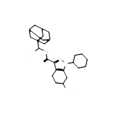 CCOC(=O)C1CCc2c(C(=O)NC(C)C34CC5CC(CC(C5)C3)C4)nn(C3CCCCC3)c2C1